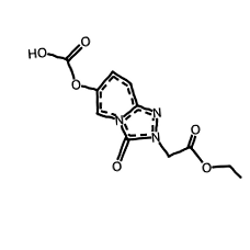 CCOC(=O)Cn1nc2ccc(OC(=O)O)cn2c1=O